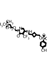 Cc1ccc(S(=O)(=O)OCC2CC(CNc3cnn(COCC[Si](C)(C)C)c(=O)c3C(F)(F)F)C2)cc1